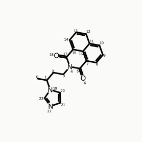 CC(CCN1C(=O)c2cccc3cccc(c23)C1=O)n1ccnc1